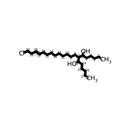 CCCCCC(O)C(CCCCCCCCC/C=C/CCCl)C(O)CCCCC